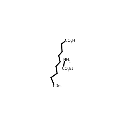 CCCCCCCCCCCCCCCCCC(=O)O.CCOC(N)=O